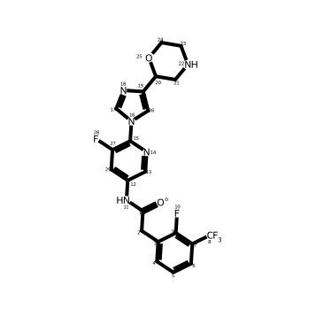 O=C(Cc1cccc(C(F)(F)F)c1F)Nc1cnc(-n2cnc(C3CNCCO3)c2)c(F)c1